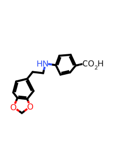 O=C(O)c1ccc(NCCc2ccc3c(c2)OCO3)cc1